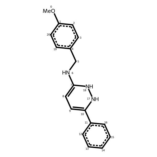 COc1ccc(CNC2=CC=C(c3ccccc3)NN2)cc1